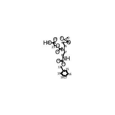 CS(=O)(=O)CCN(CCNC(=O)OCc1ccccc1)C(=O)OCC(=O)O